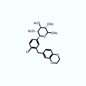 CC(=O)OC1O[C@@H](c2ccc(Cl)c(Cc3ccc4c(c3)OCCO4)c2)[C@H](OC(C)=O)[C@@H](OC(C)=O)[C@@H]1OC(C)=O